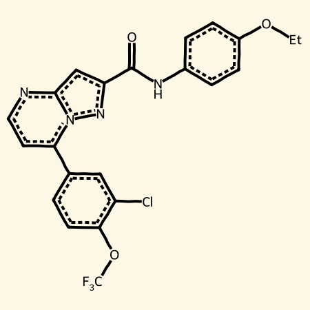 CCOc1ccc(NC(=O)c2cc3nccc(-c4ccc(OC(F)(F)F)c(Cl)c4)n3n2)cc1